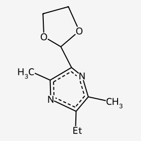 CCc1nc(C)c(C2OCCO2)nc1C